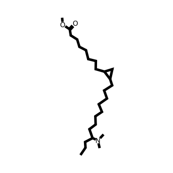 CCCC(CCCCCCCCC1CC1CCCCCCCC(=O)OC)N(C)C